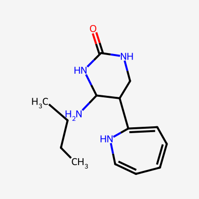 CCCC.NC1NC(=O)NCC1C1=CC=CC=CN1